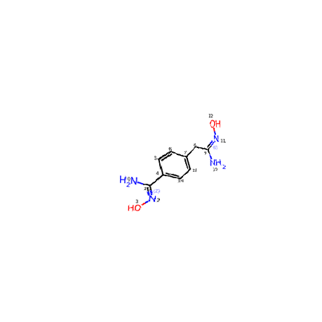 N/C(=N\O)c1ccc(C/C(N)=N\O)cc1